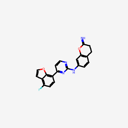 N=C1CCc2ccc(Nc3nccc(-c4ccc(F)c5ccoc45)n3)cc2O1